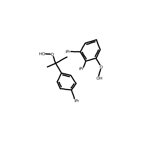 CC(C)c1ccc(C(C)(C)OO)cc1.CC(C)c1cccc(OO)c1C(C)C